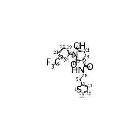 Cc1ccc(C(=O)NCCc2cccs2)c(=O)n1-c1cccc(C(F)(F)F)c1